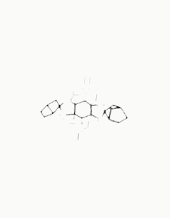 O[C@@H]1[C@H]2OC3(CC4CCC3C4)O[C@H]2[C@@H](O)[C@@H]2OC3(CC4CCC43)O[C@@H]12